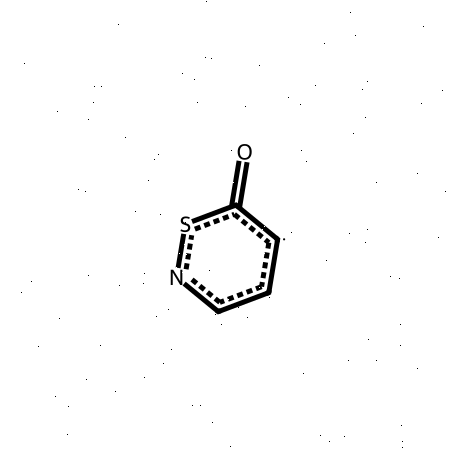 O=c1[c]ccns1